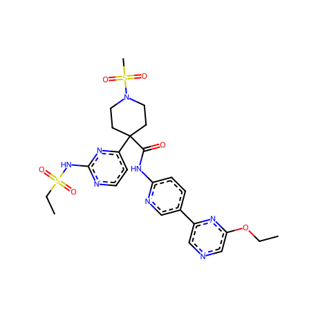 CCOc1cncc(-c2ccc(NC(=O)C3(c4ccnc(NS(=O)(=O)CC)n4)CCN(S(C)(=O)=O)CC3)nc2)n1